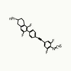 CCCC1CCc2c(cc(F)c(-c3ccc(C#Cc4cc(F)c(N=C=S)c(F)c4)cc3)c2F)C1